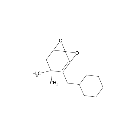 CC1(C)CC2OC23OC3=C1CC1CCCCC1